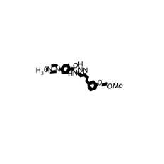 COCCOc1cccc(CCc2cc(NC(=O)c3ccc(N4CCN(C)CC4)cc3)[nH]n2)c1